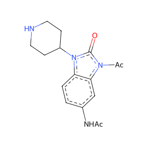 CC(=O)Nc1ccc2c(c1)n(C(C)=O)c(=O)n2C1CCNCC1